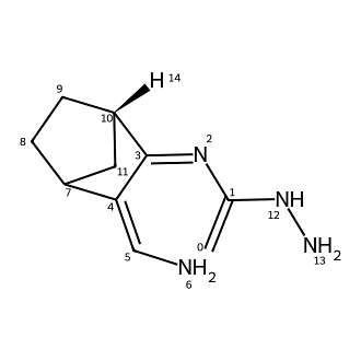 C=C(/N=C1\C(=C/N)C2CC[C@H]1C2)NN